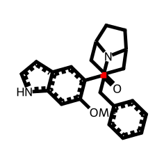 COc1cc2[nH]ccc2cc1C(=O)N1C2CCC1CC(Cc1ccccc1)C2